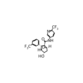 O=C(Nc1ccc(C(F)(F)F)nc1)[C@@H]1[C@@H](c2cccc(C(F)(F)F)c2)[C@H]2O[C@@H]1C[C@@H]2O